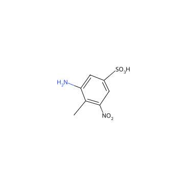 Cc1c(N)cc(S(=O)(=O)O)cc1[N+](=O)[O-]